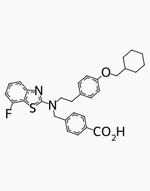 O=C(O)c1ccc(CN(CCc2ccc(OCC3CCCCC3)cc2)c2nc3cccc(F)c3s2)cc1